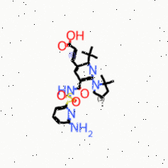 C[C@@H]1CN(c2nc(C(C)(C)C)c(/C=C/C(=O)O)cc2C(=O)NS(=O)(=O)c2cccc(N)n2)C(C)(C)C1